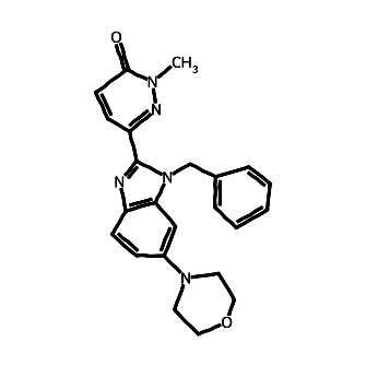 Cn1nc(-c2nc3ccc(N4CCOCC4)cc3n2Cc2ccccc2)ccc1=O